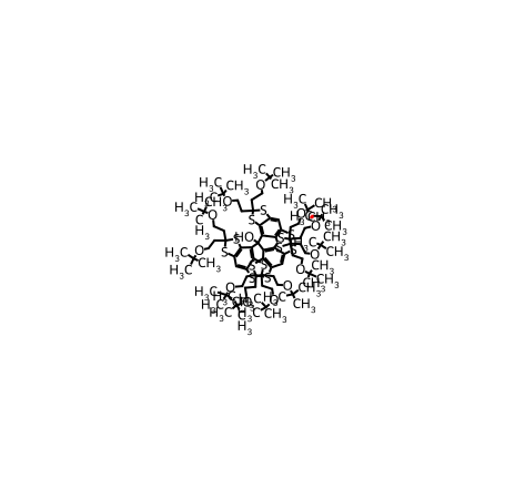 CC(C)(C)OCCC1(CCOC(C)(C)C)Sc2cc3c(c(C(O)(c4c5c(cc6c4SC(CCOC(C)(C)C)(CCOC(C)(C)C)S6)SC(CCOC(C)(C)C)(CCOC(C)(C)C)S5)c4c5c(cc6c4SC(CCOC(C)(C)C)(CCOC(C)(C)C)S6)SC(CCOC(C)(C)C)(CCOC(C)(C)C)S5)c2S1)SC(CCOC(C)(C)C)(CCOC(C)(C)C)S3